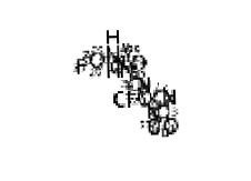 COc1cc2nccc(Oc3ncc(NC(=O)C4(C(=O)Nc5ccc(F)cc5)CC4)cc3Cl)c2nc1OC